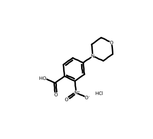 Cl.O=C(O)c1ccc(N2CCOCC2)cc1[N+](=O)[O-]